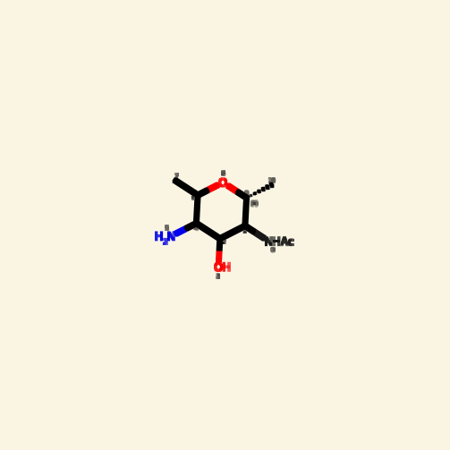 CC(=O)NC1C(O)C(N)C(C)O[C@@H]1C